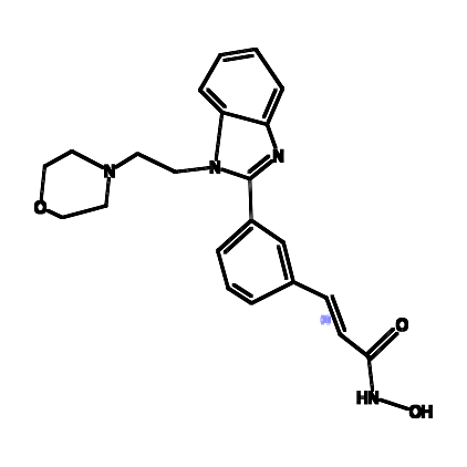 O=C(/C=C/c1cccc(-c2nc3ccccc3n2CCN2CCOCC2)c1)NO